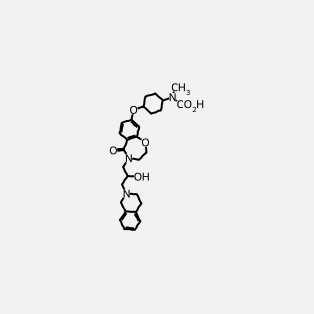 CN(C(=O)O)C1CCC(Oc2ccc3c(c2)OCCN(CC(O)CN2CCc4ccccc4C2)C3=O)CC1